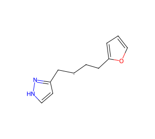 [CH](CCc1ccco1)Cc1cc[nH]n1